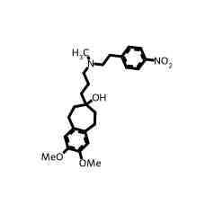 COc1cc2c(cc1OC)CCC(O)(CCCN(C)CCc1ccc([N+](=O)[O-])cc1)CC2